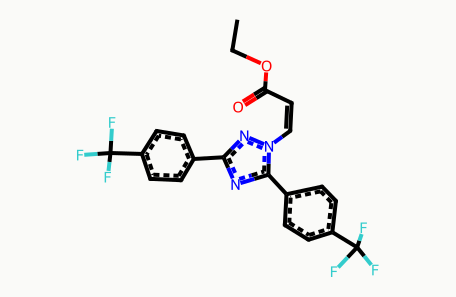 CCOC(=O)/C=C\n1nc(-c2ccc(C(F)(F)F)cc2)nc1-c1ccc(C(F)(F)F)cc1